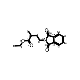 CCOC(=O)C(C)CCN1C(=O)c2ccccc2C1=O